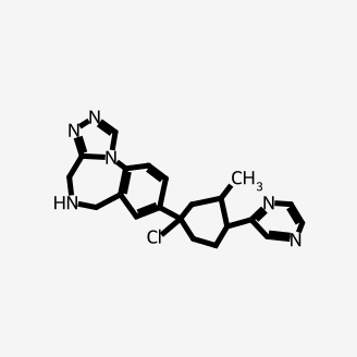 CC1CC(Cl)(c2ccc3c(c2)CNCc2nncn2-3)CCC1c1cnccn1